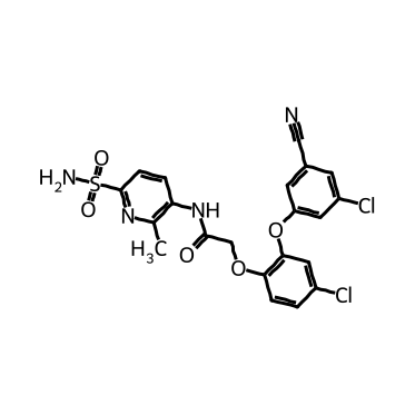 Cc1nc(S(N)(=O)=O)ccc1NC(=O)COc1ccc(Cl)cc1Oc1cc(Cl)cc(C#N)c1